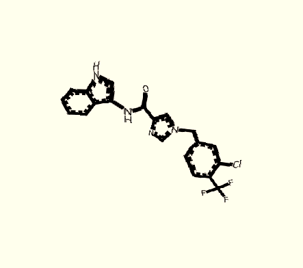 O=C(Nc1c[nH]c2ccccc12)c1cn(Cc2ccc(C(F)(F)F)c(Cl)c2)cn1